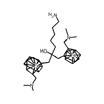 CN(C)C[C]12[CH]3[CH]4[CH]5[C]1(CC(O)(CCCCCN)C[C]16[CH]7[CH]8[CH]9[C]1(CN(C)C)[Fe]89761%10%11%12[CH]6[CH]1[CH]%10[CH]%11[CH]6%12)[Fe]43521678[CH]2[CH]1[CH]6[CH]7[CH]28